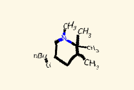 CC1CCCN(C)C1(C)C.[Li][CH2]CCC